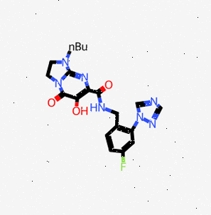 CCCCN1CCn2c1nc(C(=O)NCc1ccc(F)cc1-n1cncn1)c(O)c2=O